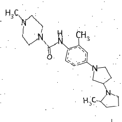 Cc1cc(N2CCC(N3CCCC3C)C2)ccc1NC(=O)N1CCN(C)CC1